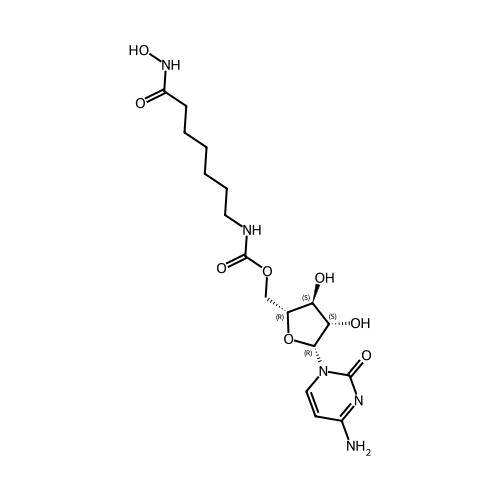 Nc1ccn([C@@H]2O[C@H](COC(=O)NCCCCCCC(=O)NO)[C@@H](O)[C@@H]2O)c(=O)n1